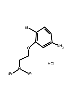 CCc1ccc(N)cc1OCCN(C(C)C)C(C)C.Cl